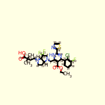 CCOC(=O)C1=C(CN2CC(F)(F)[C@H]3[C@@H]2CCN3CCC(C)(C)C(=O)O)NC(c2nccs2)=NC1c1cccc(F)c1Cl